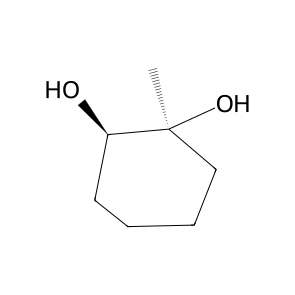 C[C@]1(O)CCCC[C@H]1O